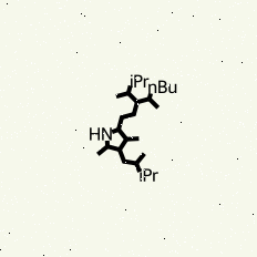 CCCCC(C)C(CCC1NC(C)C(CC(C)C(C)C)C1C)C(C)C(C)C